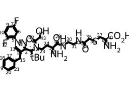 CC(C)(C)C(c1nn(-c2cc(F)ccc2F)cc1Cc1ccccc1)N(CCC(N)C(=O)NCCNC(=O)CSC[C@H](N)C(=O)O)C(=O)CO